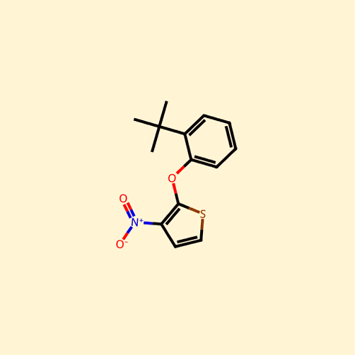 CC(C)(C)c1ccccc1Oc1sccc1[N+](=O)[O-]